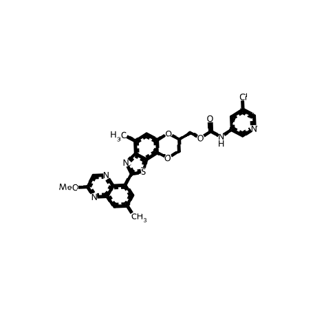 COc1cnc2c(-c3nc4c(C)cc5c(c4s3)OCC(COC(=O)Nc3cncc(Cl)c3)O5)cc(C)cc2n1